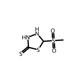 CS(=O)(=O)C1NNC(=S)S1